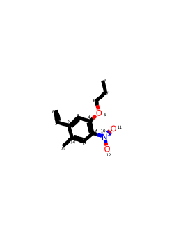 C=Cc1cc(OCCC)c([N+](=O)[O-])cc1C